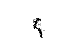 COCCn1cc(Nc2ncc(C#Cc3cc(C(=O)Nc4ccc(CN5CCC(N(C)C)C5)c(F)c4)ccc3C)cn2)cn1